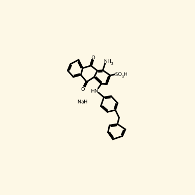 Nc1c(S(=O)(=O)O)cc(Nc2ccc(Cc3ccccc3)cc2)c2c1C(=O)c1ccccc1C2=O.[NaH]